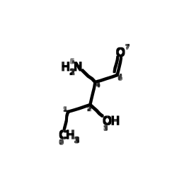 CCC(O)C(N)[C]=O